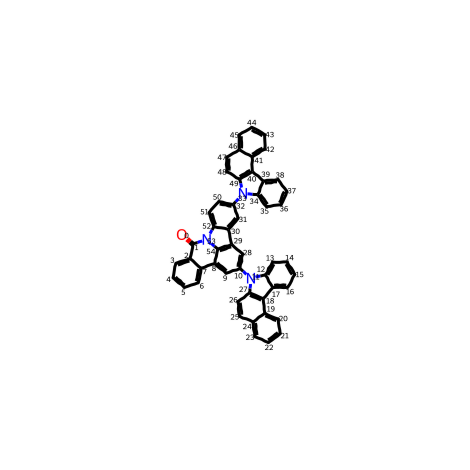 O=c1c2ccccc2c2cc(-n3c4ccccc4c4c5ccccc5ccc43)cc3c4cc(-n5c6ccccc6c6c7ccccc7ccc65)ccc4n1c23